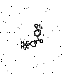 Cc1ccc(C(=O)N2CCC(C)(C)C2)cc1